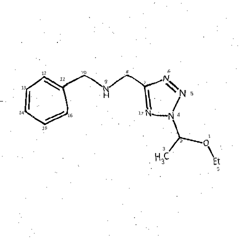 CCOC(C)n1nnc(CNCc2ccccc2)n1